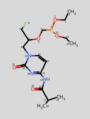 CCOP(COC(CF)Cn1ccc(NC(=O)C(C)C)nc1=O)OCC